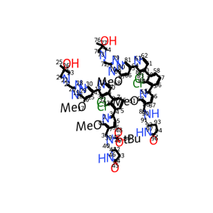 COc1nc(-c2cccc(-c3ccnc(-c4cc(OC)c5nc(CN6CC(C)(O)C6)nn5c4)c3Cl)c2Cl)ccc1CN(C[C@@H]1CCC(=O)N1)C(=O)OC(C)(C)C.COc1nc(-c2cccc(-c3ccnc(-c4cc(OC)c5nc(CN6CC(C)(O)C6)nn5c4)c3Cl)c2Cl)ccc1CNC[C@@H]1CCC(=O)N1